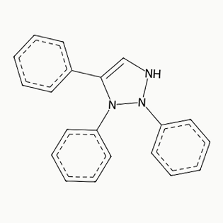 C1=C(c2ccccc2)N(c2ccccc2)N(c2ccccc2)N1